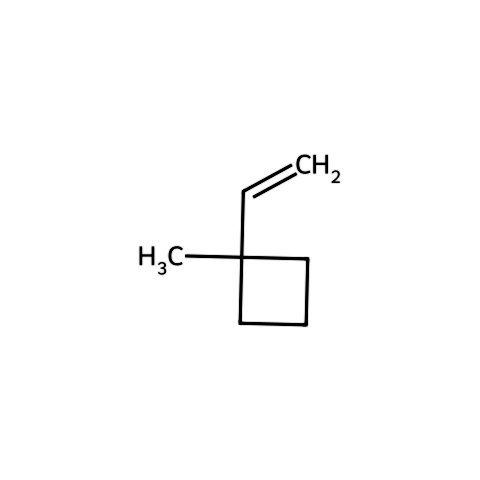 C=CC1(C)CCC1